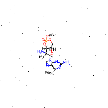 CCCCOP1(=O)OC[C@H]2O[C@@H](n3cnc4c(OC)nc(N)nc43)[C@](C)(N)[C@@H]2O1